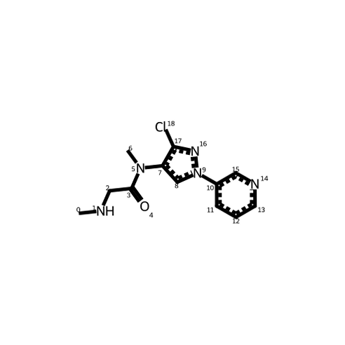 CNCC(=O)N(C)c1cn(-c2cccnc2)nc1Cl